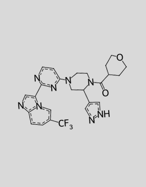 O=C(C1CCOCC1)N1CCN(c2ccnc(-c3cnc4ccc(C(F)(F)F)cn34)n2)CC1c1cn[nH]c1